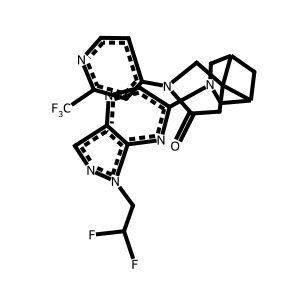 O=C1CC2(CN1c1ccnc(C(F)(F)F)c1)C1CC2CN(c2cnc3cnn(CC(F)F)c3n2)C1